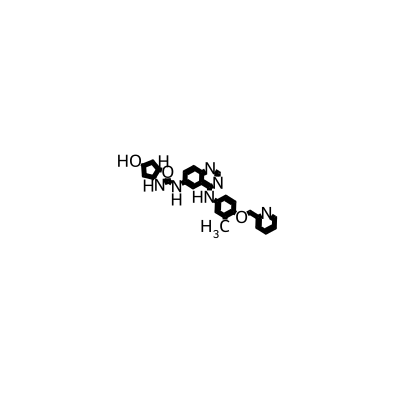 Cc1cc(Nc2ncnc3ccc(NC4=N[C@@H]5C[C@@H](O)C[C@@H]5O4)cc23)ccc1OCc1ccccn1